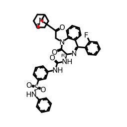 O=C(Nc1cccc(S(=O)(=O)Nc2ccccc2)c1)N[C@@H]1N=C(c2ccccc2F)c2ccccc2N(CC(=O)N2CC3CCC(CC3)C2)C1=O